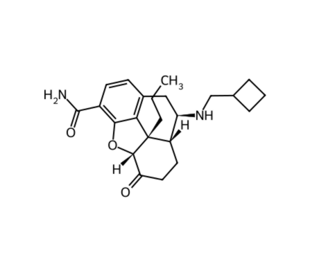 CCC[C@]12c3c4ccc(C(N)=O)c3O[C@H]1C(=O)CC[C@H]2[C@H](NCC1CCC1)C4